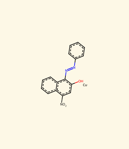 O=[N+]([O-])c1cc(O)c(N=Nc2ccccc2)c2ccccc12.[Cu]